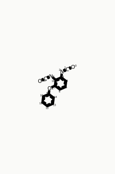 O=C=Nc1cccc(Oc2ccccc2)c1N=C=O